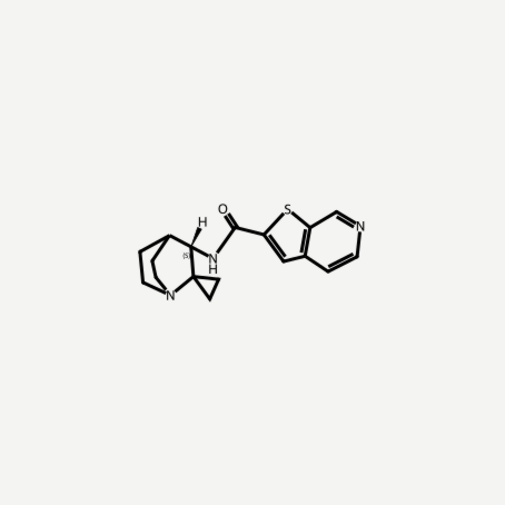 O=C(N[C@H]1C2CCN(CC2)C12CC2)c1cc2ccncc2s1